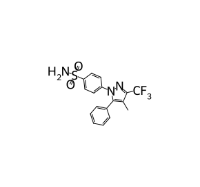 Cc1c(C(F)(F)F)nn(-c2ccc(S(N)(=O)=O)cc2)c1-c1ccccc1